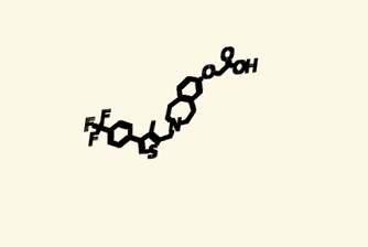 Cc1c(-c2ccc(C(F)(F)F)cc2)csc1CN1CCc2ccc(OCC(=O)O)cc2CC1